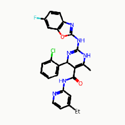 CCc1ccnc(NC(=O)C2=C(C)NC(Nc3nc4ccc(F)cc4o3)=NC2c2ccccc2Cl)c1